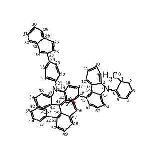 CC1CC=CC=C1n1c2ccccc2c2c(-c3ccc(N(c4ccc(-c5ccc6ccccc6c5)cc4)c4ccccc4-c4cccc5cccc(-c6ccccc6)c45)cc3)cccc21